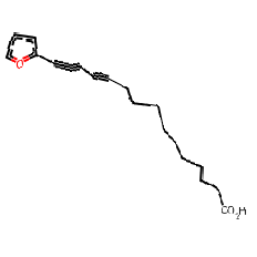 O=C(O)CCCCCCCCCC#CC#Cc1ccco1